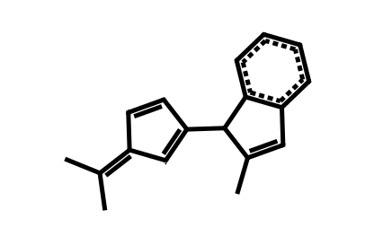 CC1=Cc2ccccc2C1C1=[C]C(=C(C)C)C=C1